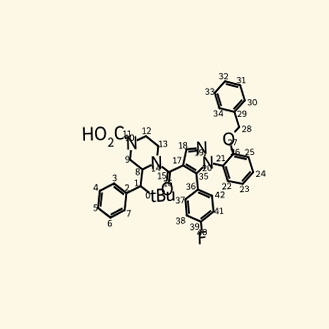 CC(C)(C)C(c1ccccc1)C1CN(C(=O)O)CCN1C(=O)c1cnn(-c2ccccc2OCc2ccccc2)c1-c1ccc(F)cc1